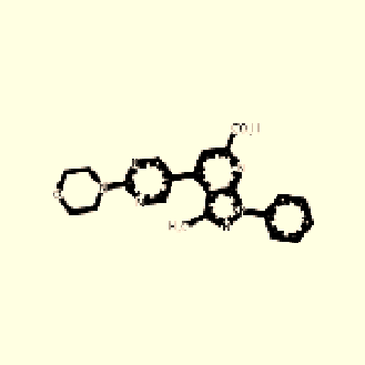 Cc1nn(-c2ccccc2)c2nc(C(=O)O)cc(-c3cnc(N4CCOCC4)nc3)c12